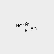 C=C(C)C(=O)OCC[N+](C)(C)CCO.[Br-]